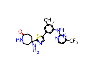 Cc1cc(Nc2nccc(C(F)(F)F)n2)cc(-c2cnc(C3(N)CCNC(=O)CC3)s2)c1